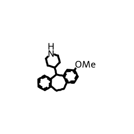 COc1ccc2c(c1)C(C1CCNCC1)c1ccccc1CC2